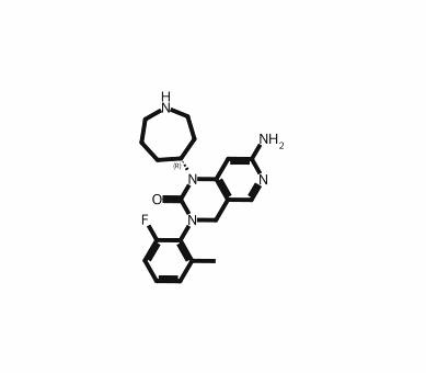 Cc1cccc(F)c1N1Cc2cnc(N)cc2N([C@@H]2CCCNCC2)C1=O